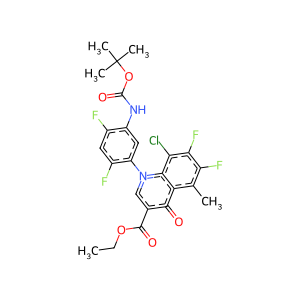 CCOC(=O)c1cn(-c2cc(NC(=O)OC(C)(C)C)c(F)cc2F)c2c(Cl)c(F)c(F)c(C)c2c1=O